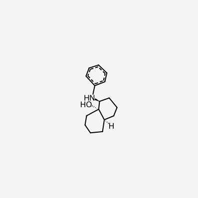 O[C@@]12CCCC[C@@H]1CCC[C@@H]2Nc1ccccc1